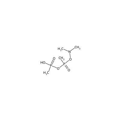 CN(C)OP(C)(=O)OP(C)(=O)O